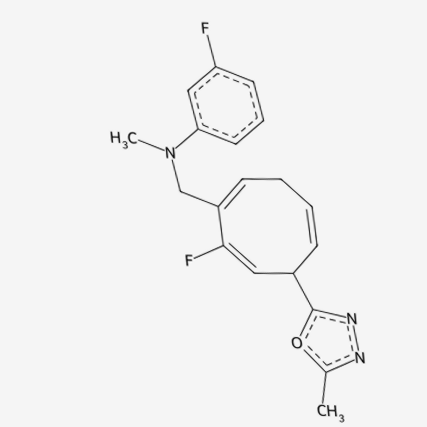 Cc1nnc(C2C=CC/C=C(CN(C)c3cccc(F)c3)\C(F)=C/2)o1